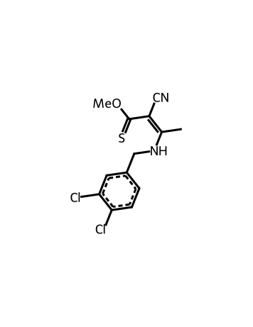 COC(=S)C(C#N)=C(C)NCc1ccc(Cl)c(Cl)c1